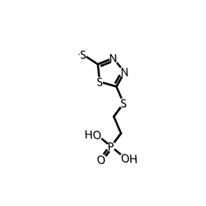 O=P(O)(O)CCSc1nnc([S])s1